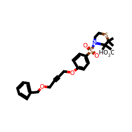 CC1(C)SCCN(S(=O)(=O)c2ccc(OCC#CCOCc3ccccc3)cc2)C1(C)C(=O)O